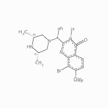 CCCC(c1nc2c(Br)c(OC)ccc2c(=O)n1CC)N1C[C@@H](C)N[C@@H](C)C1